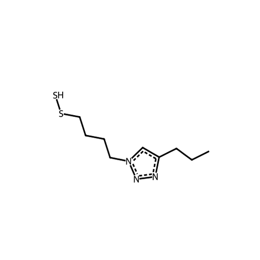 CCCc1cn(CCCCSS)nn1